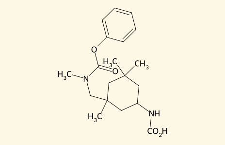 CN(CC1(C)CC(NC(=O)O)CC(C)(C)C1)C(=O)Oc1ccccc1